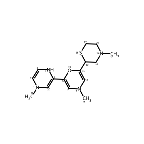 CN1C=CNC(C2=CN(C)C=C(C3CN(C)CCS3)O2)=C1